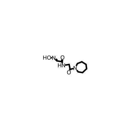 O=C(C=NO)NCC(=O)N1CCCCCC1